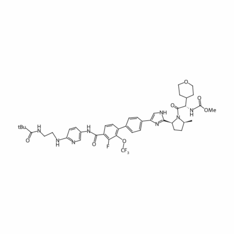 COC(=O)N[C@H](C(=O)N1[C@@H](C)CC[C@H]1c1nc(-c2ccc(-c3ccc(C(=O)Nc4ccc(NCCNC(=O)C(C)(C)C)nc4)c(F)c3OC(F)(F)F)cc2)c[nH]1)C1CCOCC1